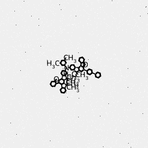 Cc1cc(C)cc(N(c2ccc3c(c2)C(C)(C)c2cc(-c4ccc(-c5ccccc5)cc4)c4oc5ccccc5c4c2-3)c2ccc3c(c2)C(C)(C)c2c4c(c5c(oc6ccccc65)c2-3)-c2ccccc2C4(C)C)c1